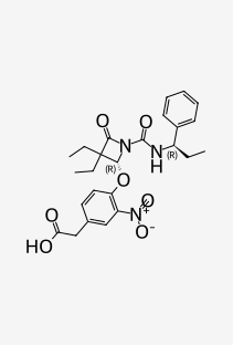 CC[C@@H](NC(=O)N1C(=O)C(CC)(CC)[C@H]1Oc1ccc(CC(=O)O)cc1[N+](=O)[O-])c1ccccc1